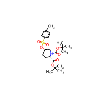 Cc1ccc(S(=O)(=O)O[C@H]2CC[C@@H](C(=O)OC(C)(C)C)N(C(=O)OC(C)(C)C)C2)cc1